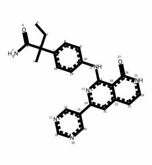 CCC(C)(C(N)=O)c1ccc(Nc2nc(-c3cncnc3)cc3cc[nH]c(=O)c23)cc1